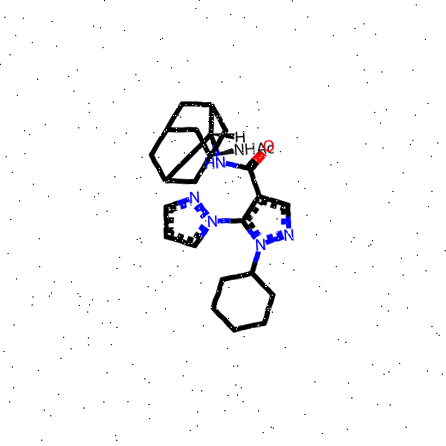 CC(=O)N[C@]12CC3CC(C1)[C@@H](NC(=O)c1cnn(C4CCCCC4)c1-n1cccn1)C(C3)C2